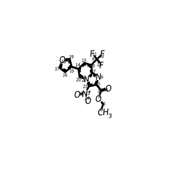 CCOC(=O)c1nc2c(C(F)(F)F)cc(-c3ccoc3)cn2c1[N+](=O)[O-]